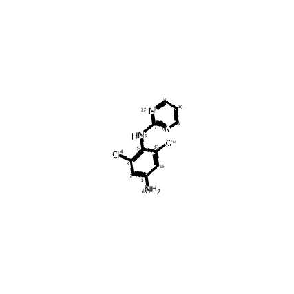 Nc1cc(Cl)c(Nc2ncccn2)c(Cl)c1